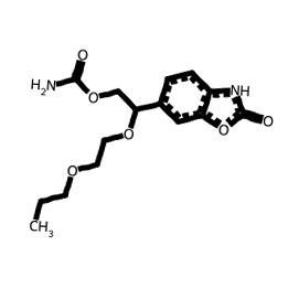 CCCOCCOC(COC(N)=O)c1ccc2[nH]c(=O)oc2c1